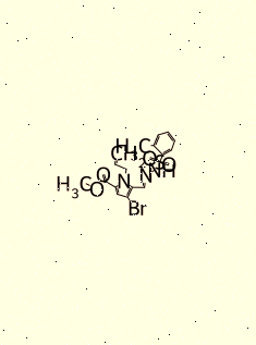 C=CCn1c(C(=O)OC)cc(Br)c1/C=N/NS(=O)(=O)c1ccccc1C